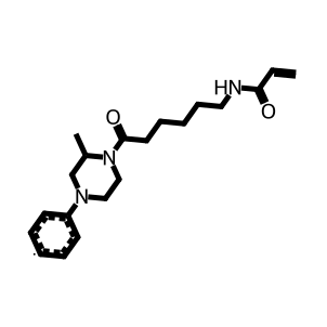 C=CC(=O)NCCCCCC(=O)N1CCN(c2cc[c]cc2)CC1C